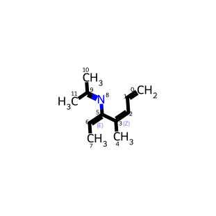 C=C/C=C(C)\C(=C/C)N=C(C)C